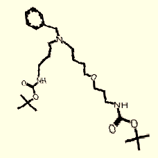 CC(C)(C)OC(=O)NCCCOCCCCN(CCCNC(=O)OC(C)(C)C)Cc1ccccc1